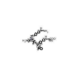 C[C@@H](COc1ccc(-c2ccc(NCCN(C(=O)[O-])C(C)(C)C)nc2)cc1)ON1C(=O)c2ccccc2C1=O.C[C@@H](COc1ccc(-c2ccc(NCCN)[n+](C)c2)cc1)O/N=C(\C(=O)N[C@@H]1C(=O)N(OS(=O)(=O)O)C1(C)C)c1csc(N)n1